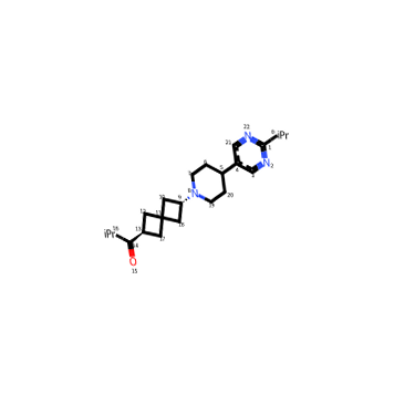 CC(C)c1ncc(C2CCN([C@H]3CC4(C[C@H](C(=O)C(C)C)C4)C3)CC2)cn1